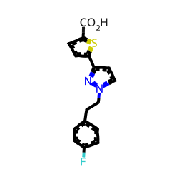 O=C(O)c1ccc(-c2ccn(CCc3ccc(F)cc3)n2)s1